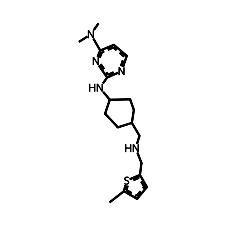 Cc1ccc(CNCC2CCC(Nc3nccc(N(C)C)n3)CC2)s1